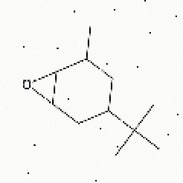 CC1CC(C(C)(C)C)CC2OC12